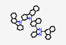 c1ccc2cc3c(cc2c1)c1ccc(-n2c4ccccc4c4ccc5ccccc5c42)cc1n3-c1ccc(-c2nc(-c3cc4ccccc4c4ccccc34)nc3ccccc23)c2ccccc12